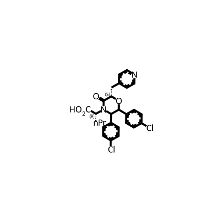 CCC[C@H](C(=O)O)N1C(=O)[C@H](Cc2ccncc2)OC(c2ccc(Cl)cc2)C1c1ccc(Cl)cc1